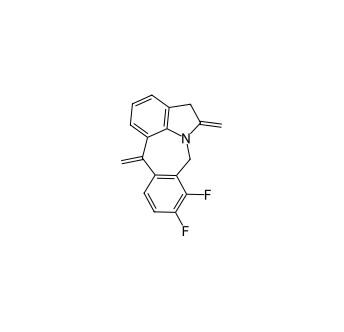 C=C1c2ccc(F)c(F)c2CN2C(=C)Cc3cccc1c32